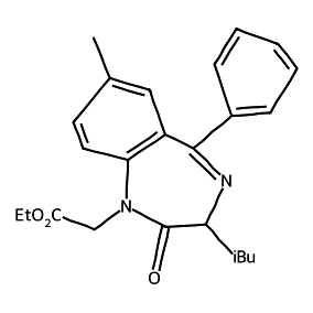 CCOC(=O)CN1C(=O)C(C(C)CC)N=C(c2ccccc2)c2cc(C)ccc21